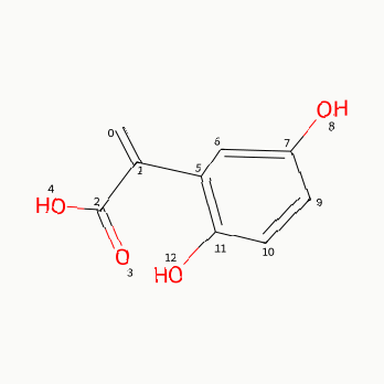 C=C(C(=O)O)c1cc(O)ccc1O